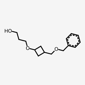 OCCCOC1CC(COCc2ccccc2)C1